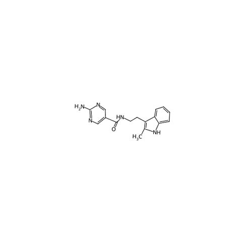 Cc1[nH]c2ccccc2c1CCNC(=O)c1cnc(N)nc1